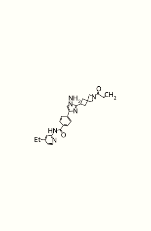 C=CC(=O)N1CC2(CC(c3nc(-c4ccc(C(=O)Nc5cc(CC)ccn5)cc4)cn3N)C2)C1